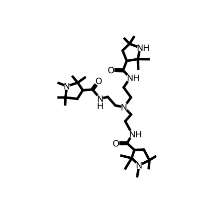 CN1C(C)(C)CC(C(=O)NCCN(CCNC(=O)C2CC(C)(C)NC2(C)C)CCNC(=O)C2CC(C)(C)N(C)C2(C)C)C1(C)C